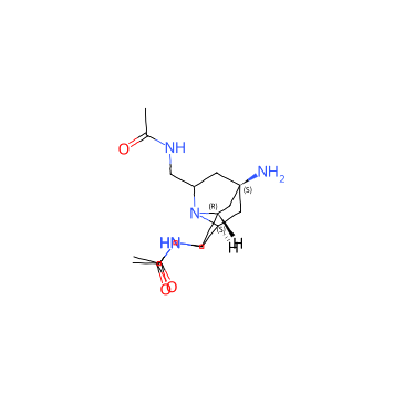 CC(=O)NCC1C[C@]2(N)C[C@@H](CNC(C)=O)N1[C@@H](CNC(C)=O)C2